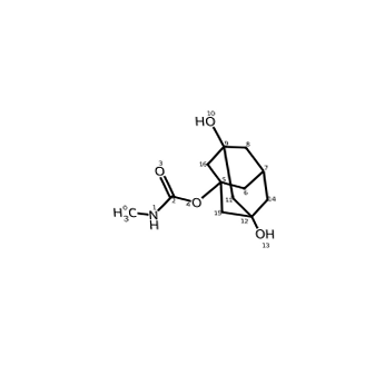 CNC(=O)OC12CC3CC(O)(CC(O)(C3)C1)C2